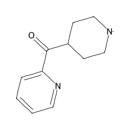 O=C(c1ccccn1)C1CC[N]CC1